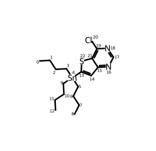 CCC[CH2][Sn]([CH2]CCC)([CH2]CCC)[c]1cc2ncnc(Cl)c2s1